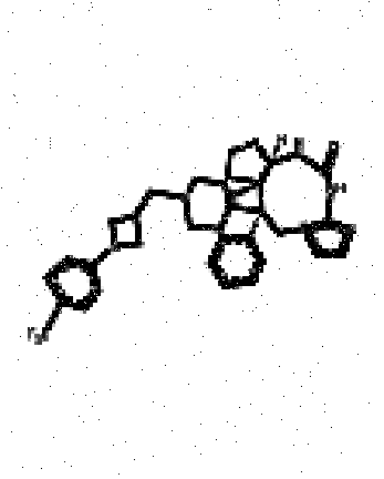 O=C1Nc2nccn2C[C@@](c2ccccc2)(C2CCN(CC3CN(c4ccc(C(F)(F)F)cc4)C3)CC2)[C@@H]2CCC[C@H]2N1